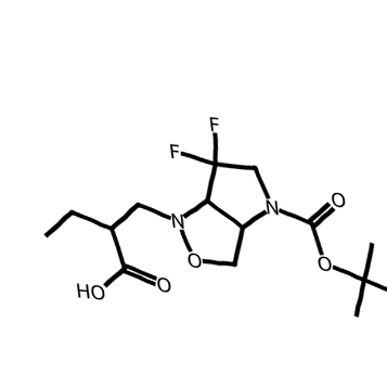 CCC(CN1OCC2C1C(F)(F)CN2C(=O)OC(C)(C)C)C(=O)O